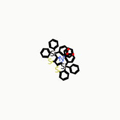 c1ccc(-n2c3c(c4c2[Si](c2ccccc2)(c2ccccc2)c2ccccc2S4)Sc2ccccc2[Si]3(c2ccccc2)c2ccccc2)cc1